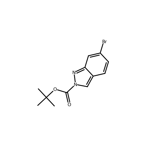 CC(C)(C)OC(=O)n1cc2ccc(Br)cc2n1